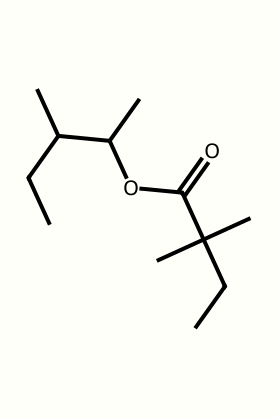 CCC(C)C(C)OC(=O)C(C)(C)CC